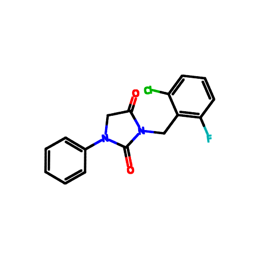 O=C1CN(c2ccccc2)C(=O)N1Cc1c(F)cccc1Cl